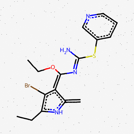 C=c1[nH]c(CC)c(Br)/c1=C(/N=C(\N)Sc1cccnc1)OCC